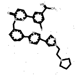 CC(=N)c1cc(F)cc(-c2ccc(=O)n(Cc3cccc(-c4ncc(-c5cnn(CCN6CCCC6)c5)cn4)c3)n2)c1